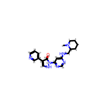 CN1CCCCC1CNc1cc(-n2[nH]cc(-c3cccnc3)c2=O)ncn1